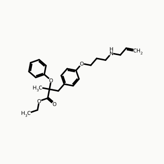 C=CCNCCCOc1ccc(CC(C)(Oc2ccccc2)C(=O)OCC)cc1